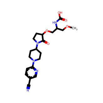 COCC(COC1CCN(C2CCN(c3ccc(C#N)cn3)CC2)C1=O)NC(=O)O